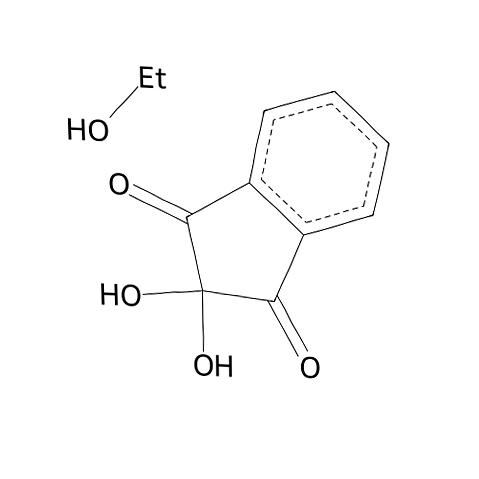 CCO.O=C1c2ccccc2C(=O)C1(O)O